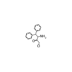 NC(C(=O)CCl)C(c1ccccc1)c1ccccc1